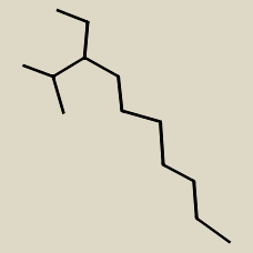 CCCCCCCC(CC)C(C)C